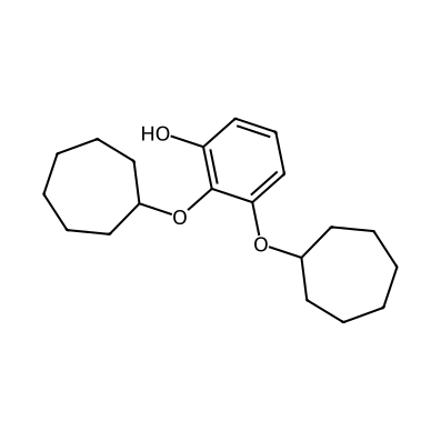 Oc1cccc(OC2CCCCCC2)c1OC1CCCCCC1